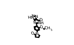 CCOc1cc(N2CCCC2=O)ccc1-c1nc2[nH]nnc2c(=O)[nH]1